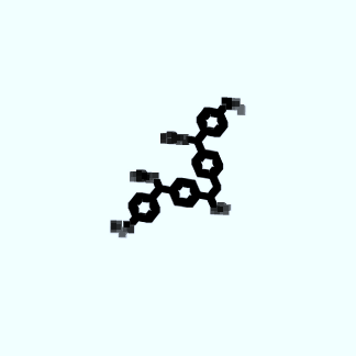 CCCCCCCCCCC(c1ccc(N)cc1)c1ccc(CC(CCC)c2ccc(C(CCCCCCCCCC)c3ccc(N)cc3)cc2)cc1